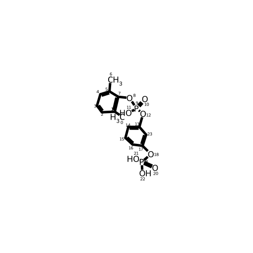 Cc1cccc(C)c1OP(=O)(O)Oc1cccc(OP(=O)(O)O)c1